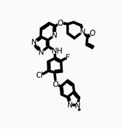 C=CC(=O)N1CCC(Oc2ccc3ncnc(Nc4cc(Cl)c(Oc5ccc6cn(C)nc6c5)cc4F)c3n2)CC1